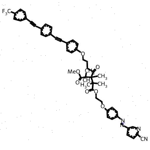 COC(=O)C(C)(C)C(C)(C(=O)CCCOc1ccc(C#Cc2ccc(C#Cc3ccc(C(F)(F)F)cc3)cc2)cc1)C(C)(C)C(=O)OCCOc1ccc(/N=N/c2ccc(C#N)nc2)cc1